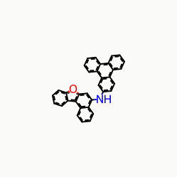 c1ccc2c(c1)oc1cc(Nc3ccc4c5ccccc5c5ccccc5c4c3)c3ccccc3c12